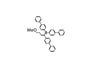 COCC/C=C(\B(c1ccc(-c2ccccc2)cc1)c1ccc(-c2ccccc2)cc1)c1ccc(-c2ccccc2)cc1